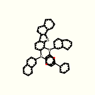 c1ccc(-c2cccc(N(c3ccc4ccccc4c3)c3c(N(c4ccccc4)c4ccc5ccccc5c4)ccc4c3sc3c5ccccc5ccc43)c2)cc1